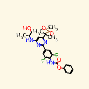 C[C@@H](CO)Nc1cc(C(C)(C)S(C)(=O)=O)nc(-c2cc(F)c(NC(=O)Oc3ccccc3)c(F)c2)n1